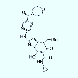 CC(C)(C)Cn1c(=O)c(C(=O)NC2CC2)c(O)n2nc(Nc3cnc(C(=O)N4CCOCC4)cn3)cc12